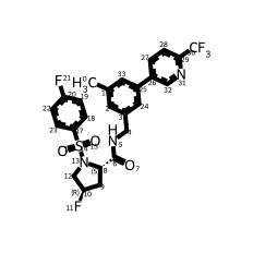 Cc1cc(CNC(=O)[C@@H]2C[C@@H](F)CN2S(=O)(=O)c2ccc(F)cc2)cc(-c2ccc(C(F)(F)F)nc2)c1